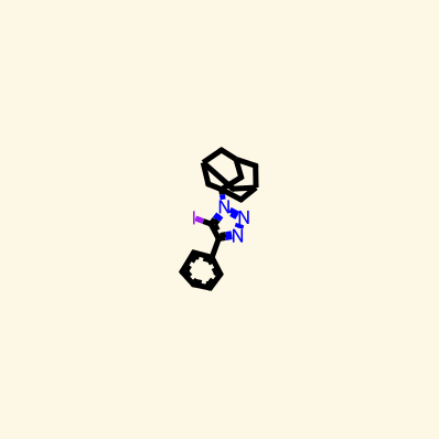 Ic1c(-c2ccccc2)nnn1C12CC3CC(CC(C3)C1)C2